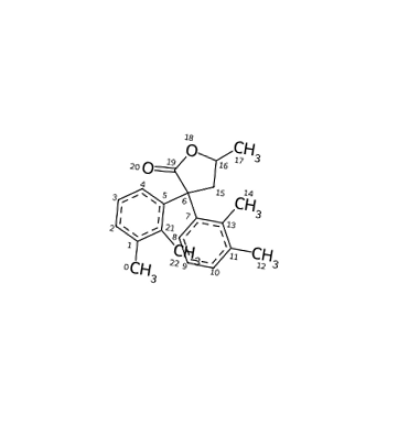 Cc1cccc(C2(c3cccc(C)c3C)CC(C)OC2=O)c1C